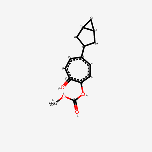 CC(C)(C)OC(=O)Oc1ccc(C2CC3CC3C2)ccc1=O